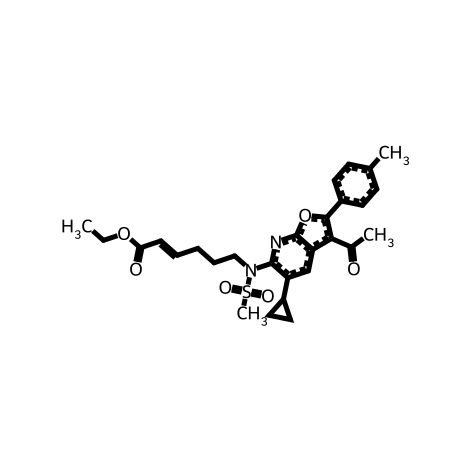 CCOC(=O)/C=C/CCCN(c1nc2oc(-c3ccc(C)cc3)c(C(C)=O)c2cc1C1CC1)S(C)(=O)=O